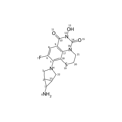 NC1C2CN(c3c(F)cc4c(=O)n(O)c(=O)n5c4c3SCC5)CC12